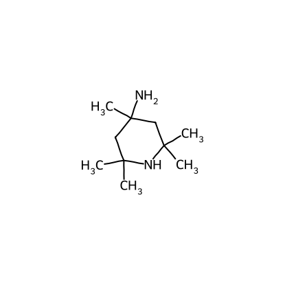 CC1(N)CC(C)(C)NC(C)(C)C1